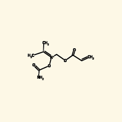 C=CC(=O)OC[N+](OC(N)=O)=C(C)C